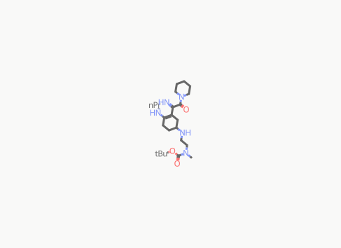 CCCNC1=C(C(=N)C(=O)N2CCCCC2)CC(NCCN(C)C(=O)OC(C)(C)C)CC1